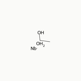 CCO.O.[Nb]